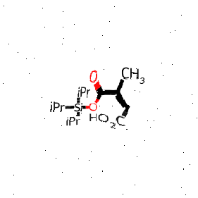 C/C(=C/C(=O)O)C(=O)O[Si](C(C)C)(C(C)C)C(C)C